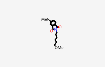 CNc1ccc2c(c1)C(=O)N(CCCCCCOC)C2=O